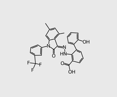 Cc1cc(C)c2c(c1)N(c1cccc(C(F)(F)F)c1)C(=O)C2=NNc1c(C(=O)O)cccc1-c1ccccc1O